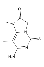 Cc1c(N)nc(=S)n2c1N(C)C(=O)C2